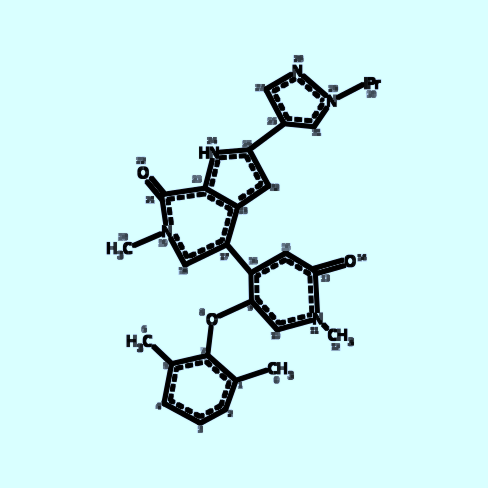 Cc1cccc(C)c1Oc1cn(C)c(=O)cc1-c1cn(C)c(=O)c2[nH]c(-c3cnn(C(C)C)c3)cc12